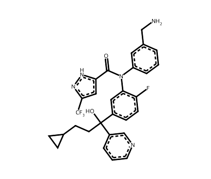 NCc1cccc(N(C(=O)c2cc(C(F)(F)F)n[nH]2)c2cc(C(O)(CCC3CC3)c3cccnc3)ccc2F)c1